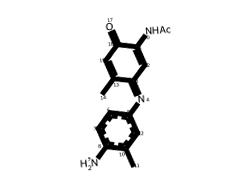 CC(=O)NC1=CC(=Nc2ccc(N)c(C)c2)C(C)=CC1=O